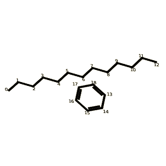 CCCCCCCCCCCCC.c1ccccc1